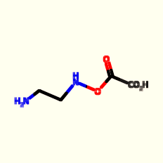 NCCNOC(=O)C(=O)O